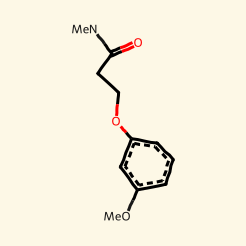 CNC(=O)CCOc1cccc(OC)c1